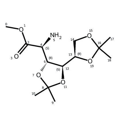 COC(=O)[C@@H](N)[C@H]1OC(C)(C)O[C@@H]1[C@H]1COC(C)(C)O1